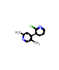 Cc1cc(-c2cccnc2Cl)c(C)cn1